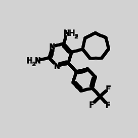 Nc1nc(N)c(C2CCCCCC2)c(-c2ccc(C(F)(F)F)cc2)n1